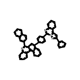 c1ccc(-c2cc3c4ccccc4nc(-c4ccc(-c5cc6c(-c7ccc8ccccc8c7)nc7ccccc7c6c6ccccc56)cc4)n3n2)cc1